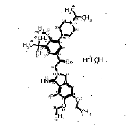 CCOc1cc2c(c(F)c1OCC)C(=N)N(CC(=O)c1cc(N3CCN(C(C)C)CC3)c(OC)c(C(C)(C)C)c1)C2.Cl.Cl